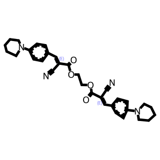 N#C/C(=C\c1ccc(N2CCCCC2)cc1)C(=O)OCCOC(=O)/C(C#N)=C/c1ccc(N2CCCCC2)cc1